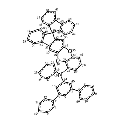 c1ccc(-c2cc(-c3ccccc3)cc(N(c3ccccc3)c3cccc4c3Oc3cc5c(cc3O4)C3(c4ccccc4-c4ccccc43)c3ccccc3-5)c2)cc1